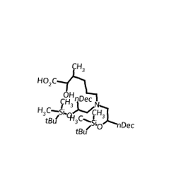 CCCCCCCCCCC(CN(CCCC(C)C(O)C(=O)O)CC(CCCCCCCCCC)O[Si](C)(C)C(C)(C)C)O[Si](C)(C)C(C)(C)C